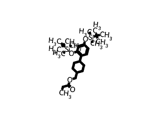 CCC(=O)OCC1CCC(c2ccc(O[Si](C)(C)C(C)(C)C)cc2O[Si](C)(C)C(C)(C)C)CC1